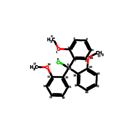 COc1cccc[c]1[Sn]([Cl])([c]1ccccc1OC)[c]1ccccc1OC